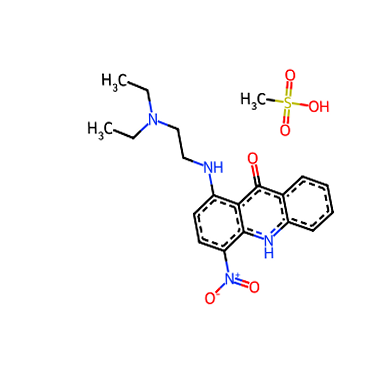 CCN(CC)CCNc1ccc([N+](=O)[O-])c2[nH]c3ccccc3c(=O)c12.CS(=O)(=O)O